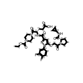 CCOC(=O)N1CCN(C(=O)[C@H](CCC(=O)O)NC(=O)c2cc(OCC(=O)N3CCC[C@H]3C(=O)NC3CC3)n(-c3ccc(F)c(F)c3)n2)CC1